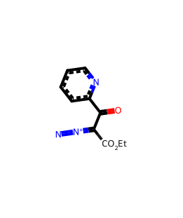 CCOC(=O)C(=[N+]=[N-])C(=O)c1ccccn1